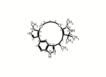 CC1CC2=C(OCCCOc3c(cnn3C)-c3ccc4[nH]nc1c4c3)N(C)NC2(C)C